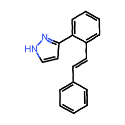 C(=Cc1ccccc1-c1cc[nH]n1)c1ccccc1